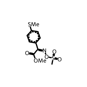 COC(=O)C(=NOS(C)(=O)=O)c1ccc(SC)cc1